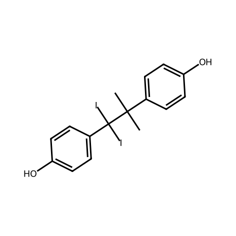 CC(C)(c1ccc(O)cc1)C(I)(I)c1ccc(O)cc1